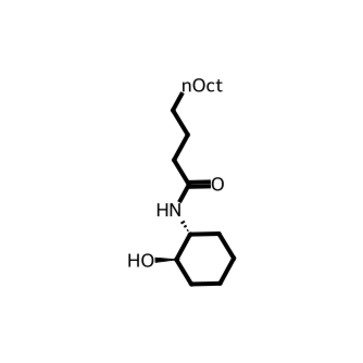 CCCCCCCCCCCC(=O)N[C@@H]1CCCC[C@H]1O